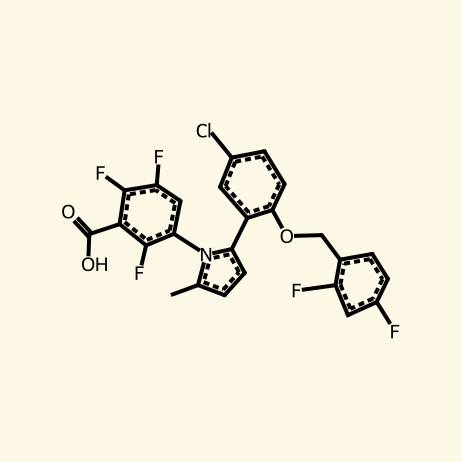 Cc1ccc(-c2cc(Cl)ccc2OCc2ccc(F)cc2F)n1-c1cc(F)c(F)c(C(=O)O)c1F